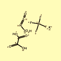 F[B-](F)(F)F.O=C(O)C(=O)O.O=C=NS(=O)(=O)O.[K+]